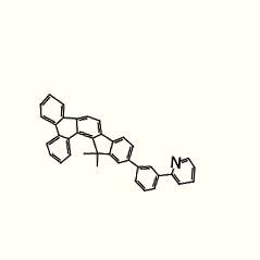 CC1(C)c2cc(-c3cccc(-c4ccccn4)c3)ccc2-c2ccc3c4ccccc4c4ccccc4c3c21